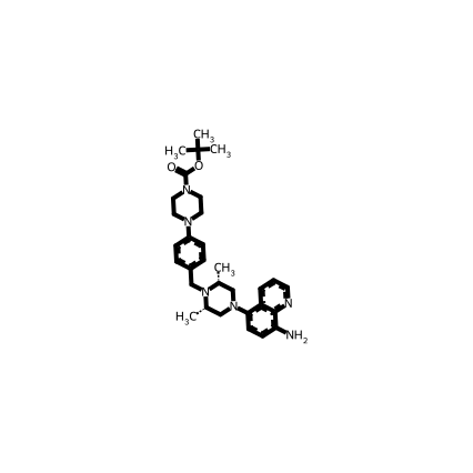 C[C@@H]1CN(c2ccc(N)c3ncccc23)C[C@H](C)N1Cc1ccc(N2CCN(C(=O)OC(C)(C)C)CC2)cc1